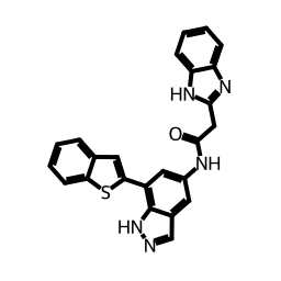 O=C(Cc1nc2ccccc2[nH]1)Nc1cc(-c2cc3ccccc3s2)c2[nH]ncc2c1